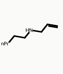 [CH2]CCCCNCC=C